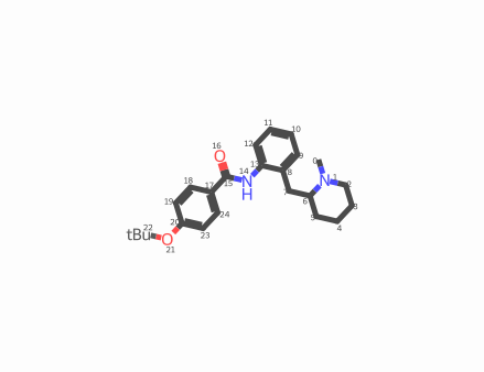 CN1CCCCC1Cc1ccccc1NC(=O)c1ccc(OC(C)(C)C)cc1